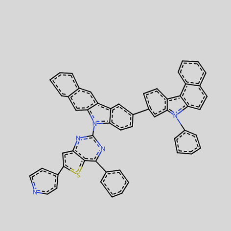 c1ccc(-c2nc(-n3c4ccc(-c5ccc6c7c8ccccc8ccc7n(-c7ccccc7)c6c5)cc4c4cc5ccccc5cc43)nc3cc(-c4ccncc4)sc23)cc1